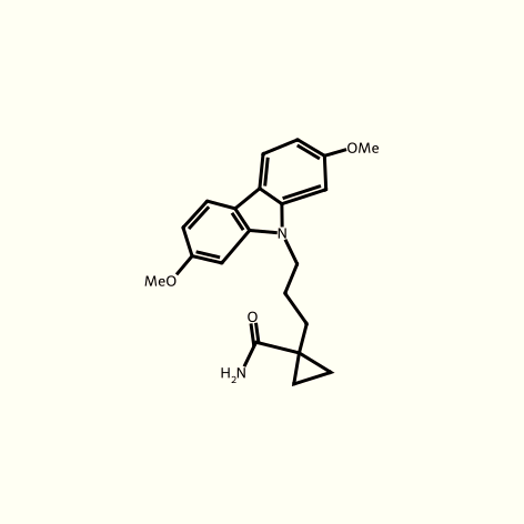 COc1ccc2c3ccc(OC)cc3n(CCCC3(C(N)=O)CC3)c2c1